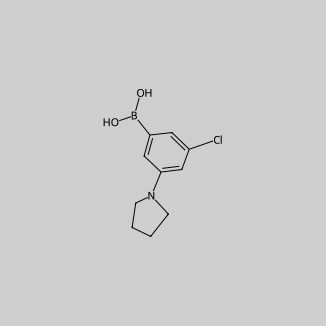 OB(O)c1cc(Cl)cc(N2CCCC2)c1